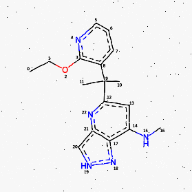 CCOc1ncccc1C(C)(C)c1cc(NC)c2n[nH]cc2n1